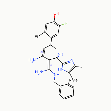 CCc1cc(O)c(F)cc1C(C)/C=C(N)\C(C(=N)c1nc(C)c(C)[nH]1)=C(/N)NCc1ccccc1NC